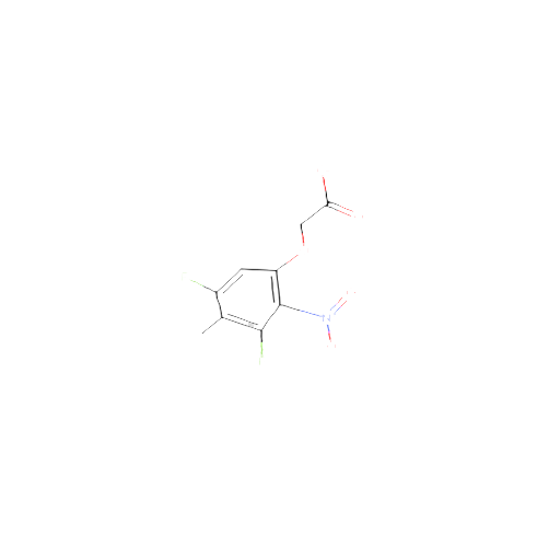 Cc1c(F)cc(OCC(=O)O)c([N+](=O)[O-])c1F